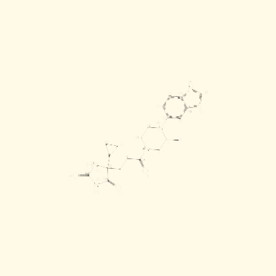 C[C@H]1CN(C(=O)CCC2(C3CC3)NC(=O)NC2=O)CCN1c1ccc2ncsc2c1